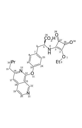 CCOc1c(N[C@@H](Cc2ccc(Oc3nc(CC(C)C)cc4ccncc34)cc2)C(=O)O)c(=O)c1=O